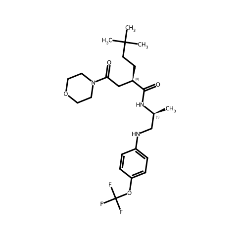 C[C@@H](CNc1ccc(OC(F)(F)F)cc1)NC(=O)[C@H](CCC(C)(C)C)CC(=O)N1CCOCC1